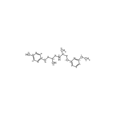 COc1cccc(OCC(C)NCC(O)COc2ccc(O)cc2)c1